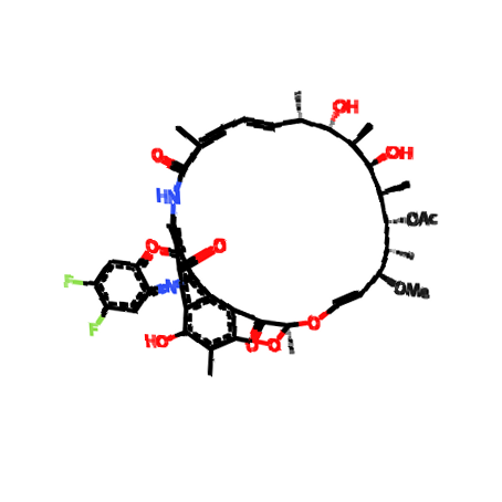 CO[C@H]1/C=C/O[C@@]2(C)Oc3c(C)c(O)c4c(=O)c(c5oc6cc(F)c(F)cc6nc-5c4c3C2=O)NC(=O)/C(C)=C\C=C\[C@H](C)[C@H](O)[C@@H](C)[C@@H](O)[C@@H](C)[C@H](OC(C)=O)[C@@H]1C